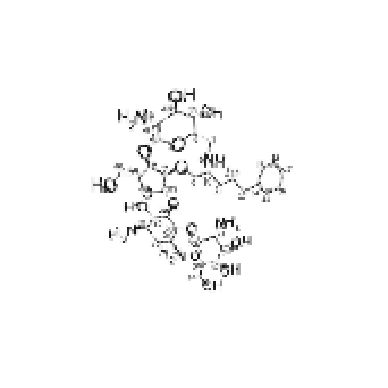 NC[C@@H]1O[C@H](O[C@H]2[C@@H](OCCCCCc3ccccc3)[C@H](O[C@@H]3[C@@H](O)[C@H](N)C[C@H](N)[C@H]3O[C@H]3O[C@H](CO)[C@@H](O)[C@H](O)[C@H]3N)O[C@@H]2CO)[C@H](N)[C@@H](O)[C@@H]1O